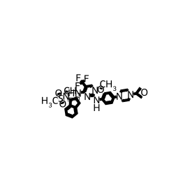 COc1cc(N2CCN(C3COC3)CC2)ccc1Nc1ncc(C(F)(F)F)c(N[C@@H]2Cc3ccccc3[C@H]2N(C)S(C)(=O)=O)n1